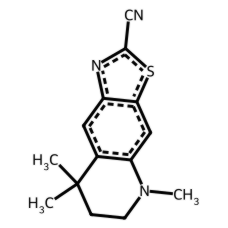 CN1CCC(C)(C)c2cc3nc(C#N)sc3cc21